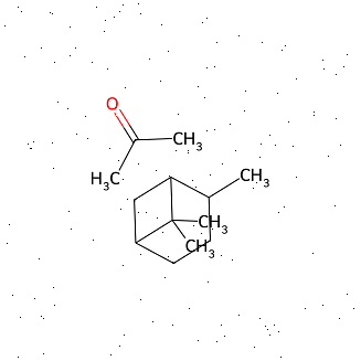 CC(C)=O.CC1CCC2CC1C2(C)C